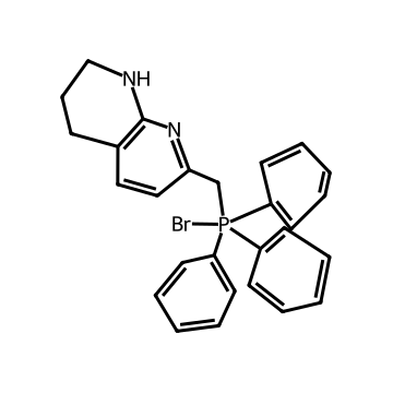 BrP(Cc1ccc2c(n1)NCCC2)(c1ccccc1)(c1ccccc1)c1ccccc1